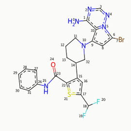 Nc1ncnn2c(Br)cc(N3CCCC(c4cc(C(F)F)sc4C(=O)Nc4ccccc4)C3)c12